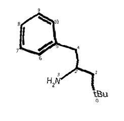 CC(C)(C)CC(N)Cc1ccccc1